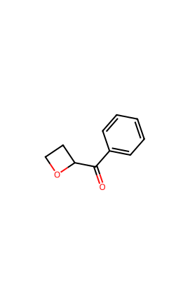 O=C(c1ccccc1)C1CCO1